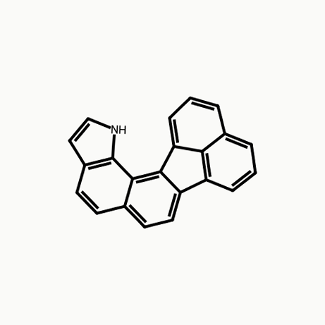 c1cc2c3c(cccc3c1)-c1c-2ccc2ccc3cc[nH]c3c12